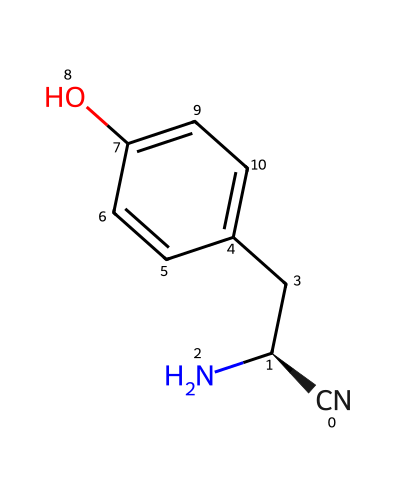 N#C[C@@H](N)Cc1ccc(O)cc1